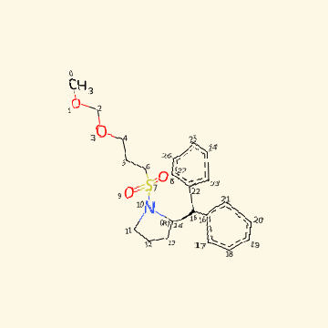 COCOCCCS(=O)(=O)N1CCC[C@@H]1C(c1ccccc1)c1ccccc1